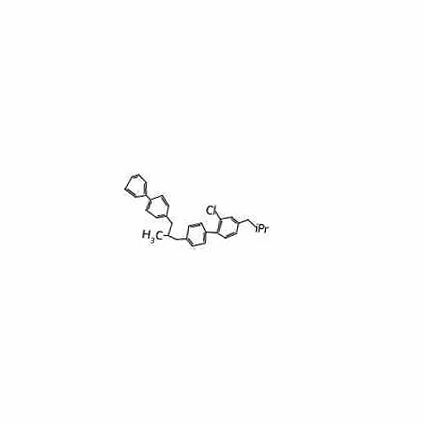 CC(C)Cc1ccc(-c2ccc(CC(C)Cc3ccc(-c4ccccc4)cc3)cc2)c(Cl)c1